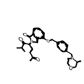 CC(=O)CCC(C(=O)C(C)C)N1Cc2c(OCc3ccc(CN4CCOCC4C)cc3)cccc2C1=O